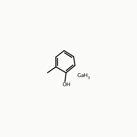 Cc1ccccc1O.[GaH3]